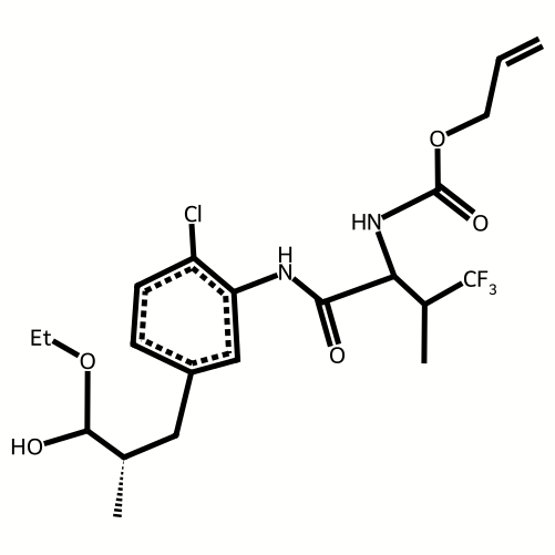 C=CCOC(=O)NC(C(=O)Nc1cc(C[C@H](C)C(O)OCC)ccc1Cl)C(C)C(F)(F)F